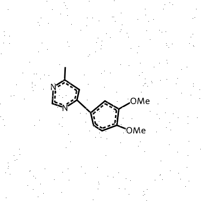 COc1ccc(-c2cc(C)ncn2)cc1OC